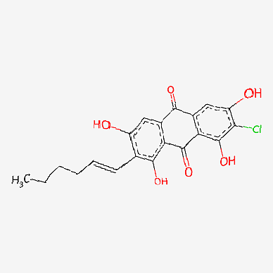 CCCCC=Cc1c(O)cc2c(c1O)C(=O)c1c(cc(O)c(Cl)c1O)C2=O